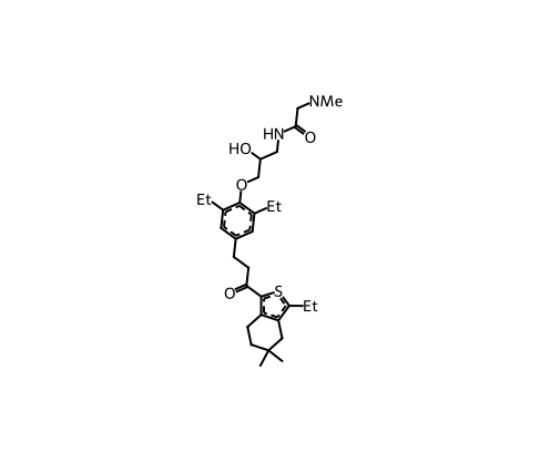 CCc1cc(CCC(=O)c2sc(CC)c3c2CCC(C)(C)C3)cc(CC)c1OCC(O)CNC(=O)CNC